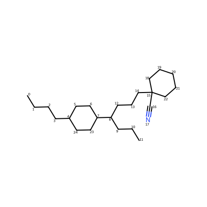 CCCCC1CCC(C(CCC)CCCC2(C#N)CCCCC2)CC1